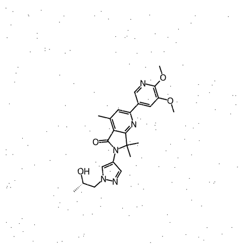 COc1cc(-c2cc(C)c3c(n2)C(C)(C)N(c2cnn(C[C@H](C)O)c2)C3=O)cnc1OC